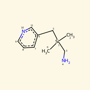 C[Si](C)(CN)Cc1cccnc1